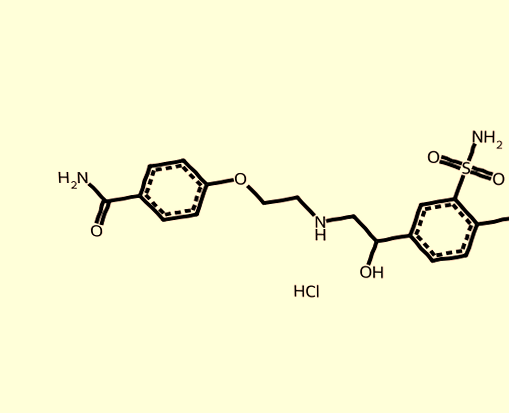 Cc1ccc(C(O)CNCCOc2ccc(C(N)=O)cc2)cc1S(N)(=O)=O.Cl